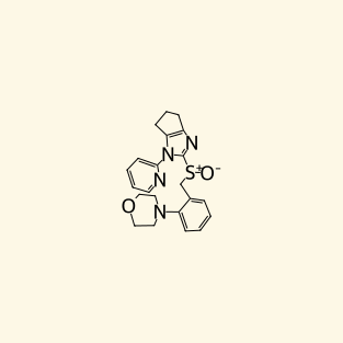 [O-][S+](Cc1ccccc1N1CCOCC1)c1nc2c(n1-c1ccccn1)CCC2